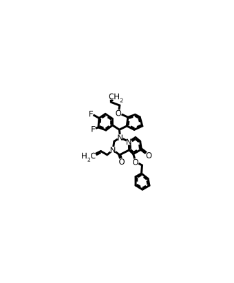 C=CCOc1ccccc1C(c1ccc(F)c(F)c1)N1CN(CC=C)C(=O)c2c(OCc3ccccc3)c(=O)ccn21